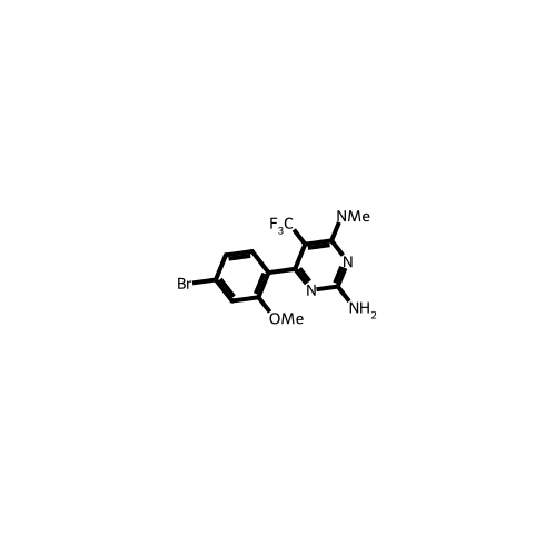 CNc1nc(N)nc(-c2ccc(Br)cc2OC)c1C(F)(F)F